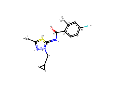 CC(C)(C)c1nn(CC2CC2)/c(=N/C(=O)c2ccc(F)cc2C(F)(F)F)s1